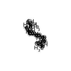 COC(=O)N[C@H](C(=O)N1CCC[C@H]1c1nc2ccc3cc(-c4ccc5cc(-c6cnc([C@@H]7CCCN7C(=O)[C@@H](NC(=O)OC)C7CCOCC7)[nH]6)ccc5n4)ccc3c2[nH]1)C(C)C